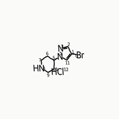 Brc1cnn(C2CCNCC2)c1.Cl